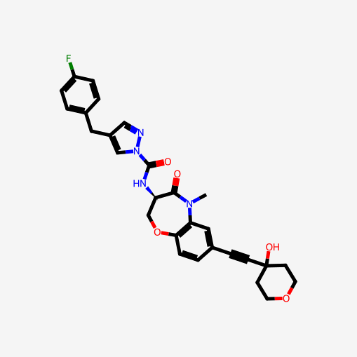 CN1C(=O)[C@H](NC(=O)n2cc(Cc3ccc(F)cc3)cn2)COc2ccc(C#CC3(O)CCOCC3)cc21